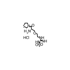 CS(=O)(=O)NC(=N)NCCOC[C@H](N)C(=O)N1CCSC1.Cl